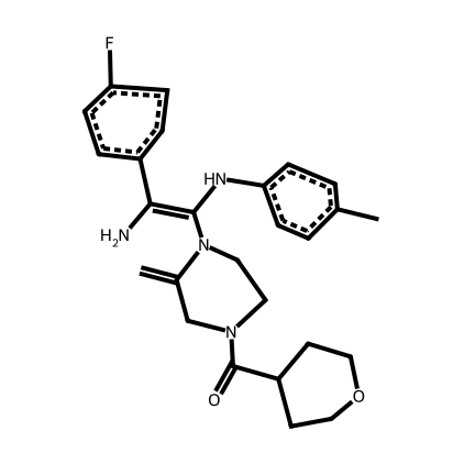 C=C1CN(C(=O)C2CCOCC2)CCN1/C(Nc1ccc(C)cc1)=C(\N)c1ccc(F)cc1